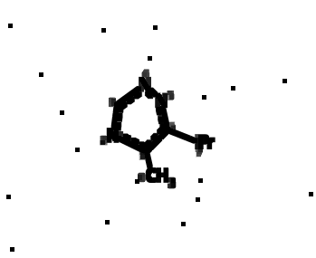 Cc1ncnnc1C(C)C